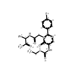 CC(C)C(NC(=O)Cn1c(-c2ccc(F)cc2)ncc(NC(=O)OCC(F)(F)F)c1=O)C(=O)C(F)(F)F